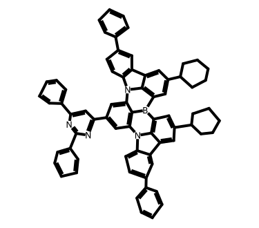 c1ccc(-c2ccc3c(c2)c2cc(C4CCCCC4)cc4c2n3-c2cc(-c3cc(-c5ccccc5)nc(-c5ccccc5)n3)cc3c2B4c2cc(C4CCCCC4)cc4c5cc(-c6ccccc6)ccc5n-3c24)cc1